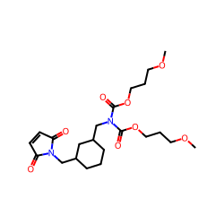 COCCCOC(=O)N(CC1CCCC(CN2C(=O)C=CC2=O)C1)C(=O)OCCCOC